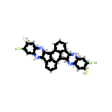 Fc1cc2nc3c4cccc5c4c(c4cccc6c7nc8cc(F)c(F)cc8nc7c5c64)c3nc2cc1F